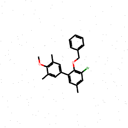 COc1c(C)cc(-c2cc(C)cc(Br)c2OCc2ccccc2)cc1C